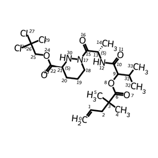 C=CCC(C)(C)C(=O)OC(C(=O)N[C@@H](C)C(=O)N1CCC[C@@H](C(=O)OCC(Cl)(Cl)Cl)N1)C(C)C